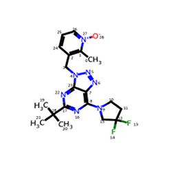 Cc1c(Cn2nnc3c(N4CCC(F)(F)C4)nc(C(C)(C)C)nc32)ccc[n+]1[O-]